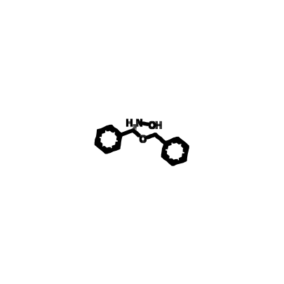 NO.c1ccc(COCc2ccccc2)cc1